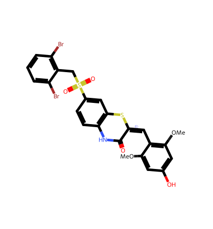 COc1cc(O)cc(OC)c1/C=C1/Sc2cc(S(=O)(=O)Cc3c(Br)cccc3Br)ccc2NC1=O